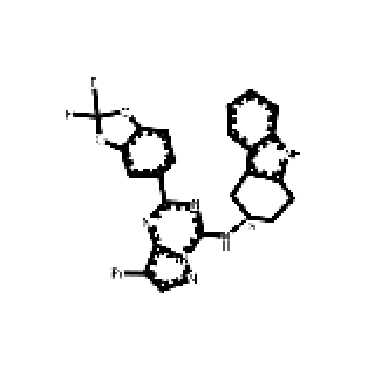 CC(C)c1cnn2c(N[C@@H]3CCc4[nH]c5ccccc5c4C3)nc(-c3ccc4c(c3)OC(F)(F)O4)nc12